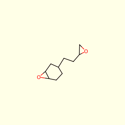 C(CC1CO1)C1CCC2OC2C1